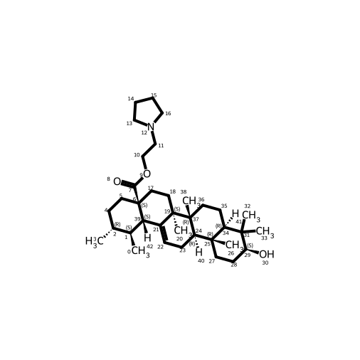 C[C@H]1[C@H](C)CC[C@]2(C(=O)OCCN3CCCC3)CC[C@]3(C)C(=CC[C@@H]4[C@@]5(C)CC[C@H](O)C(C)(C)[C@@H]5CC[C@]43C)[C@H]12